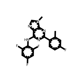 Cc1cc(F)ccc1-c1nc(Nc2c(F)cc(F)cc2F)c2ncn(C)c2n1